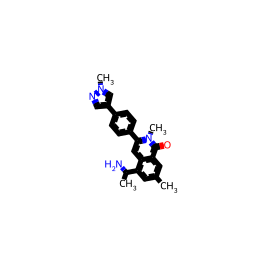 Cc1cc(C(C)N)c2cc(-c3ccc(-c4cnn(C)c4)cc3)n(C)c(=O)c2c1